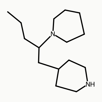 CCCC(CC1CCNCC1)N1CCCCC1